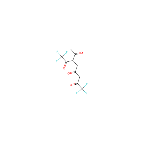 CC(=O)C(CC(=O)CC(=O)C(F)(F)F)C(=O)C(F)(F)F